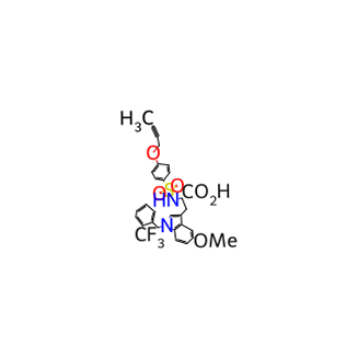 CC#CCOc1ccc(S(=O)(=O)NC(Cc2cn(Cc3ccccc3C(F)(F)F)c3ccc(OC)cc23)C(=O)O)cc1